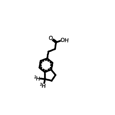 [2H]C1([2H])CCc2cc(CCC(=O)O)ccc21